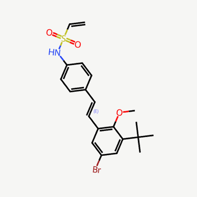 C=CS(=O)(=O)Nc1ccc(/C=C/c2cc(Br)cc(C(C)(C)C)c2OC)cc1